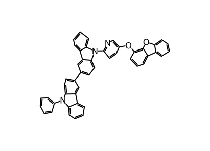 c1ccc(-n2c3ccccc3c3cc(-c4ccc5c(c4)c4ccccc4n5-c4ccc(Oc5cccc6c5oc5ccccc56)cn4)ccc32)cc1